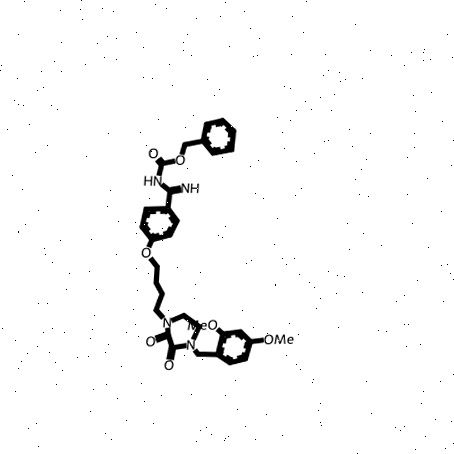 COc1ccc(CN2CCN(CCCCOc3ccc(C(=N)NC(=O)OCc4ccccc4)cc3)C(=O)C2=O)c(OC)c1